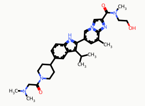 Cc1cc(-c2[nH]c3ccc(C4CCN(C(=O)CN(C)C)CC4)cc3c2C(C)C)cn2cc(C(=O)N(C)CCO)nc12